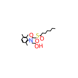 CCCCCCC(=O)SCC(=O)N(CC(=O)O)c1c(C)ccc(C)c1C